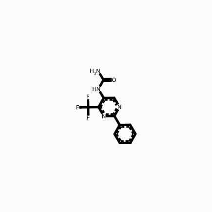 NC(=O)Nc1cnc(-c2ccccc2)nc1C(F)(F)F